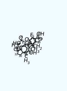 C=C[C@]1(C)C[C@@H](C(Oc2c(F)cc3c(c2F)B(O)OC3)C(=O)O)[C@@]2(C)[C@H](C)CC[C@]3(CCC(=O)[C@H]32)[C@@H](C)[C@@H]1O